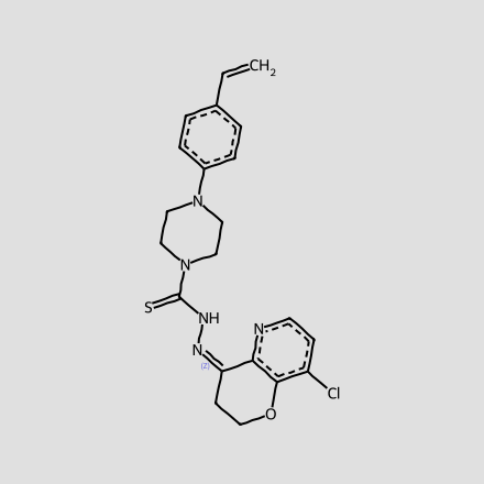 C=Cc1ccc(N2CCN(C(=S)N/N=C3/CCOc4c(Cl)ccnc43)CC2)cc1